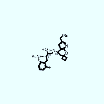 CC(=O)N[C@@H](Cc1c(F)cccc1F)[C@@H](O)CN[C@H]1CC2(CCC2)Oc2ncc(CC(C)(C)C)cc21